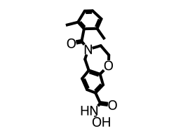 Cc1cccc(C)c1C(=O)N1CCOc2cc(C(=O)NO)ccc2C1